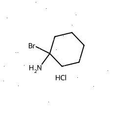 Cl.NC1(Br)CCCCC1